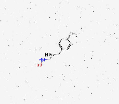 Cc1ccc(C[AsH]CNO)cc1